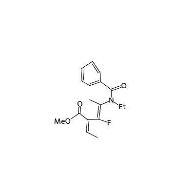 C/C=C(C(=O)OC)\C(F)=C(/C)N(CC)C(=O)c1ccccc1